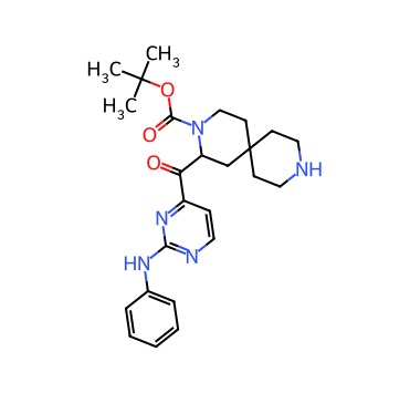 CC(C)(C)OC(=O)N1CCC2(CCNCC2)CC1C(=O)c1ccnc(Nc2ccccc2)n1